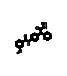 COc1cccc(C(=O)Nc2ccc(C(C(=O)NO)c3ccccc3)cc2)c1